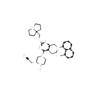 N#CC[C@H]1CN(c2nc(OCC34CCCN3CCC4)nc3c2CCN(c2cccc4cccc(Cl)c24)C3)CCN1